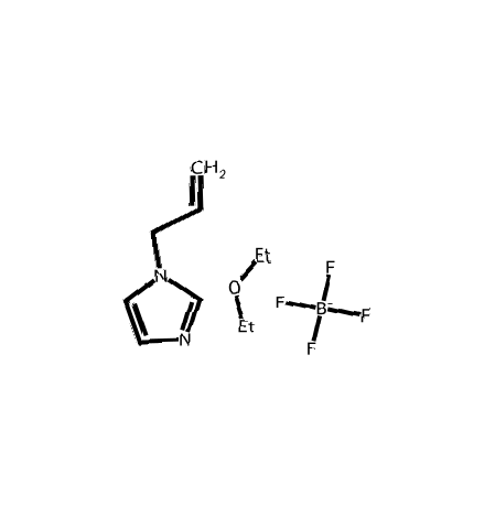 C=CCn1ccnc1.CCOCC.F[B-](F)(F)F